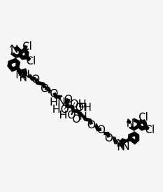 CN1Cc2c(Cl)cc(Cl)cc2[C@H](c2cccc(-c3cn(CCOCCOCCOCCNC(=O)[C@@H](O)[C@H](O)[C@H](O)[C@@H](O)C(=O)NCCOCCOCCOCCn4cc(-c5cccc([C@@H]6CN(C)Cc7c(Cl)cc(Cl)cc76)c5)nn4)nn3)c2)C1